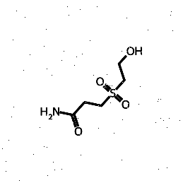 NC(=O)CCS(=O)(=O)CCO